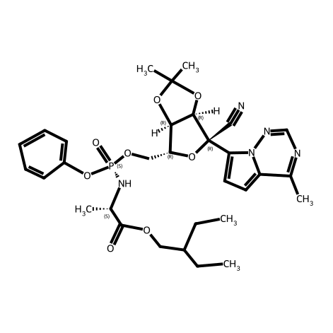 CCC(CC)COC(=O)[C@H](C)N[P@](=O)(OC[C@H]1O[C@@](C#N)(c2ccc3c(C)ncnn23)[C@@H]2OC(C)(C)O[C@@H]21)Oc1ccccc1